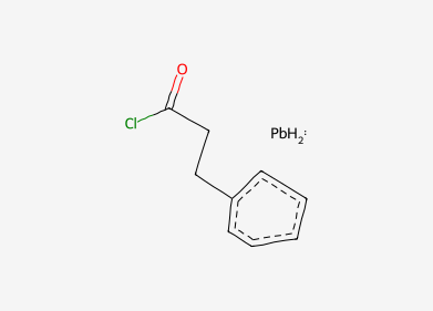 O=C(Cl)CCc1ccccc1.[PbH2]